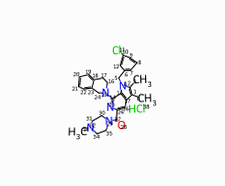 Cc1c(C)n(Cc2cccc(Cl)c2)c2c(N3CCc4ccccc4C3)nc(C(=O)N3CCN(C)CC3)cc12.Cl